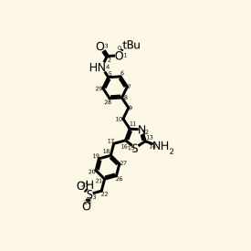 CC(C)(C)OC(=O)Nc1ccc(CCc2nc(N)sc2Cc2ccc(C[SH](=O)=O)cc2)cc1